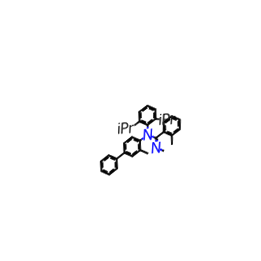 C/N=C(\c1ccccc1C)N(c1ccc(-c2ccccc2)cc1C)c1c(C(C)C)cccc1C(C)C